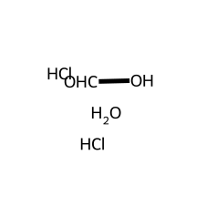 Cl.Cl.O.O=CO